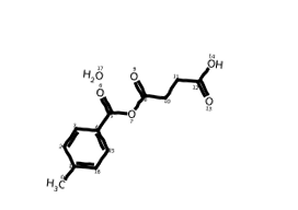 Cc1ccc(C(=O)OC(=O)CCC(=O)O)cc1.O